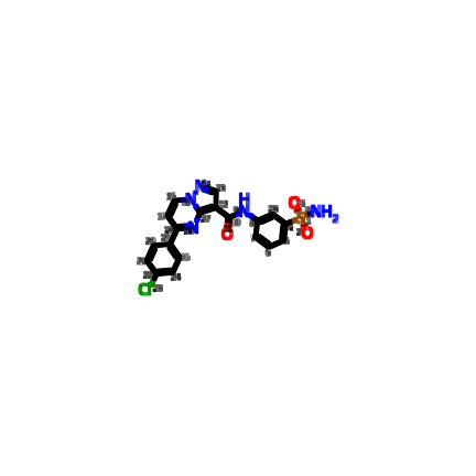 NS(=O)(=O)c1cccc(NC(=O)c2cnn3ccc(-c4ccc(Cl)cc4)nc23)c1